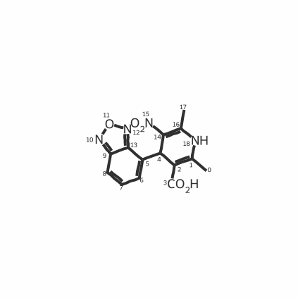 CC1=C(C(=O)O)C(c2cccc3nonc23)C([N+](=O)[O-])=C(C)N1